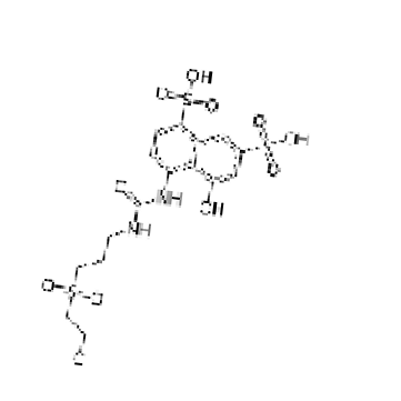 O=C(NCCCS(=O)(=O)CCCl)Nc1ccc(S(=O)(=O)O)c2cc(S(=O)(=O)O)cc(O)c12